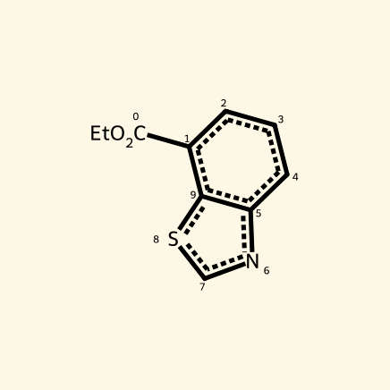 CCOC(=O)c1cccc2ncsc12